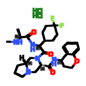 CN[C@@H](C)C(=O)N[C@H](C(=O)N1C[C@H]2CCCN2C[C@H]1C(=O)N[C@@H]1CCOc2ccccc21)C1CCC(F)(F)CC1.Cl.Cl